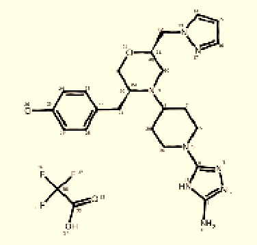 Nc1nnc(N2CCC(N3C[C@H](Cn4cccn4)OC[C@@H]3Cc3ccc(Cl)cc3)CC2)[nH]1.O=C(O)C(F)(F)F